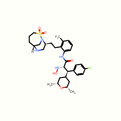 C[C@@H]1CC([C@H](c2ccc(F)cc2)[C@H](NO)C(=O)Nc2cccc(C(F)(F)F)c2CC[C@H]2CN[C@@H]3CCCS(=O)(=O)N2C3)C[C@H](C)O1